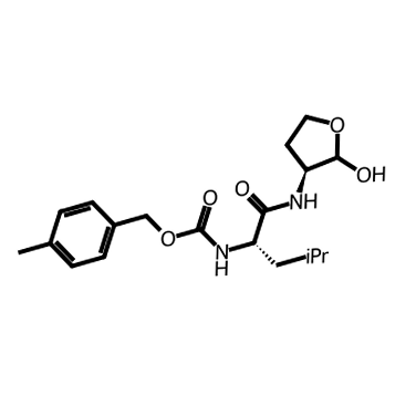 Cc1ccc(COC(=O)N[C@@H](CC(C)C)C(=O)N[C@H]2CCOC2O)cc1